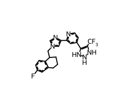 Fc1ccc2c(c1)CCCC2Cn1cnc(-c2cc(C3=C(C(F)(F)F)NNN3)ccn2)c1